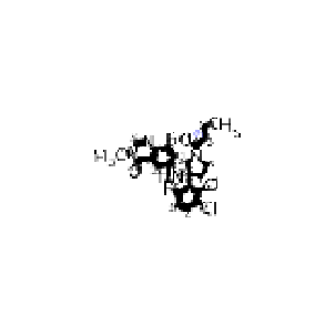 C/C=C/C(=O)N1CC[C@@](Nc2cc(F)c3ncn(C)c(=O)c3c2)(c2c(F)ccc(Cl)c2Cl)C1